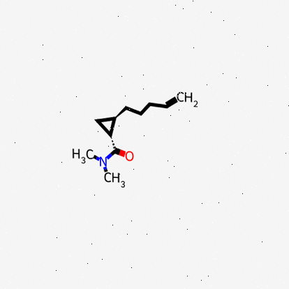 C=CCCC[C@@H]1C[C@H]1C(=O)N(C)C